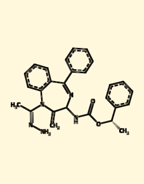 C=C1C(NC(=O)O[C@@H](C)c2ccccc2)N=C(c2ccccc2)c2ccccc2N1/C(C)=N\N